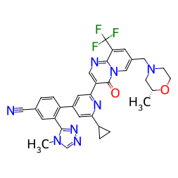 C[C@@H]1CN(Cc2cc(C(F)(F)F)c3ncc(-c4cc(-c5ccc(C#N)cc5-c5nncn5C)cc(C5CC5)n4)c(=O)n3c2)CCO1